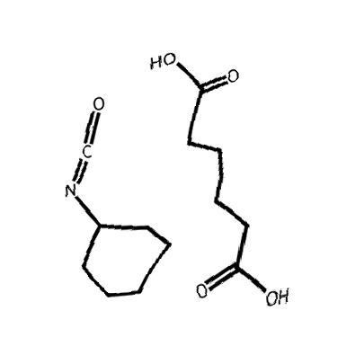 O=C(O)CCCCC(=O)O.O=C=NC1CCCCC1